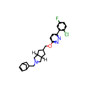 Fc1ccc(Cl)c(-c2ccc(OCC3C[C@@H]4CN(CC5CC6C=CC5C6)C[C@@H]4C3)nn2)c1